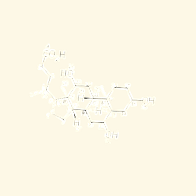 C[C@H](CCC(=O)O)[C@H]1CC[C@H]2[C@@H]3CC(O)C4CC(O)CC[C@]4(C)[C@H]3CC(O)[C@]12C